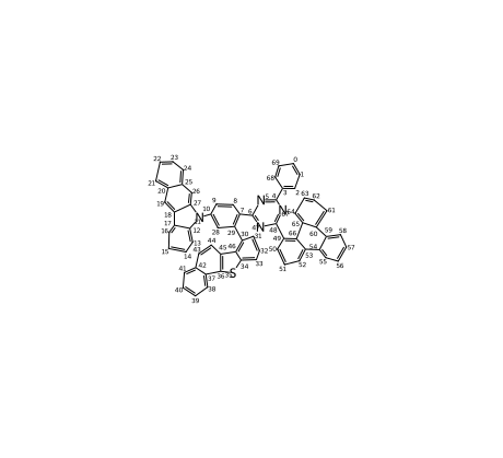 c1ccc(-c2nc(-c3ccc(-n4c5ccccc5c5cc6ccccc6cc54)cc3-c3cccc4sc5c6ccccc6ccc5c34)nc(-c3cccc4c5ccccc5c5ccccc5c34)n2)cc1